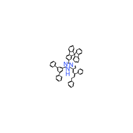 C=C/C(=C\C(=C/Cc1ccccc1)c1ccccc1)C1N=C(c2ccc3c(c2)C2(c4ccccc4-c4ccccc42)c2ccccc2-3)N=C(c2cc(-c3ccccc3)cc(-c3ccccc3)c2)N1